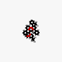 CC(C)(C)c1cc(N(c2ccccc2-c2ccc3c(c2)C(C)(C)c2ccccc2-3)c2ccccc2-c2cccc3cccc(-c4ccccc4)c23)cc(C(C)(C)C)c1